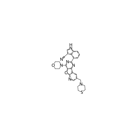 N#Cc1c[nH]c2cccc(-c3nc(N4CCOCC4)c4oc5ncc(CN6CCSCC6)cc5c4n3)c12